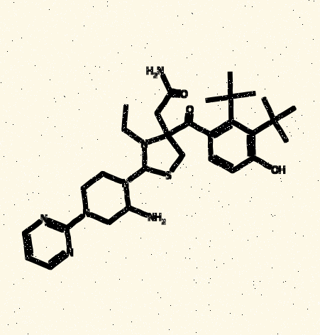 CCN1C(N2CCN(c3ncccn3)CC2N)SCC1(CC(N)=O)C(=O)c1ccc(O)c(C(C)(C)C)c1C(C)(C)C